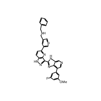 COc1cc(F)cc(-c2cncc3[nH]c(-c4n[nH]c5ccc(-c6cncc(CNCc7ccccc7)c6)nc45)nc23)c1